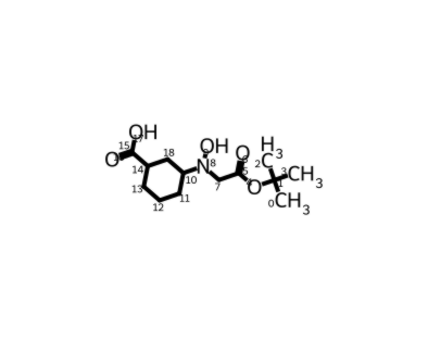 CC(C)(C)OC(=O)CN(O)C1CCCC(C(=O)O)C1